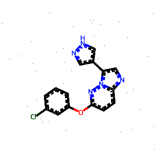 Clc1cccc(Oc2ccc3ncc(-c4cn[nH]c4)n3n2)c1